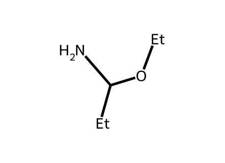 CCOC(N)CC